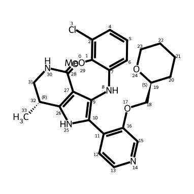 COc1c(Cl)cccc1Nc1c(-c2ccncc2OC[C@@H]2CCCCO2)[nH]c2c1C(=O)NC[C@H]2C